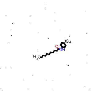 C=CCCCCCCCCC(=O)Nc1ccc(C(C)(C)C)cc1